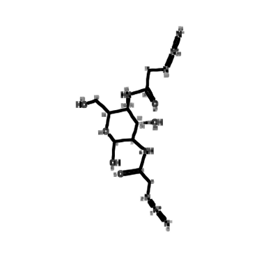 [N-]=[N+]=NCC(=O)NC1C(O)OC(CO)[C@@H](NC(=O)CN=[N+]=[N-])[C@@H]1O